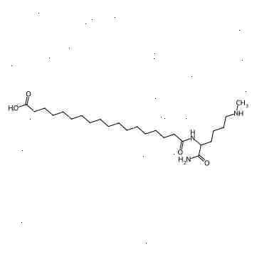 CNCCCCC(NC(=O)CCCCCCCCCCCCCCCCC(=O)O)C(N)=O